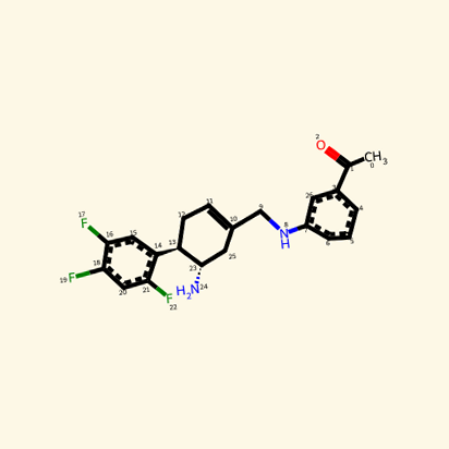 CC(=O)c1cccc(NCC2=CC[C@H](c3cc(F)c(F)cc3F)[C@@H](N)C2)c1